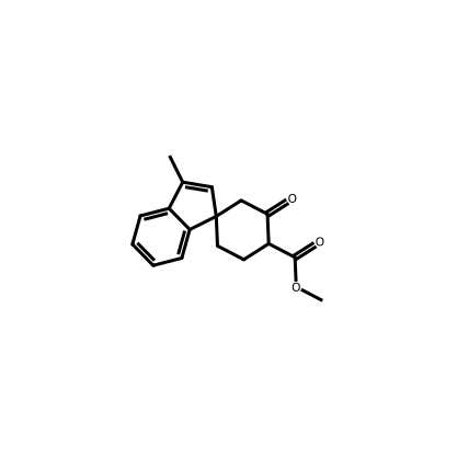 COC(=O)C1CCC2(C=C(C)c3ccccc32)CC1=O